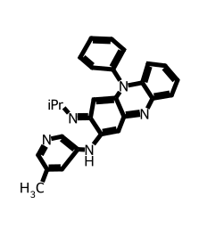 Cc1cncc(Nc2cc3nc4ccccc4n(-c4ccccc4)c-3cc2=NC(C)C)c1